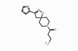 O=C(CCC(F)(F)F)N1CCC2(CC1)CC(c1cccs1)=NO2